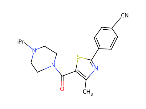 Cc1nc(-c2ccc(C#N)cc2)sc1C(=O)N1CCN(C(C)C)CC1